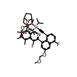 COCOc1cc(-c2ncc3c(N4CC5CCC(C4)N5C(=O)OC(C)(C)C)nc(C)c(C)c3c2F)c2c(C#C[Si](C(C)C)(C(C)C)C(C)C)ccc(F)c2c1